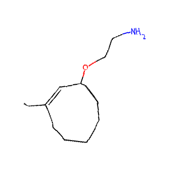 C/C1=C/C(OCCN)CCCCC1